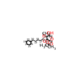 CO[C@@H]1[C@H](O)CO[C@]2(COC(C)(C)O2)[C@@H]1OCCCCCc1ccccc1